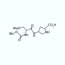 COCC(NC(=O)OC(C)(C)C)C(=O)NC1CNC(C(=O)O)C1